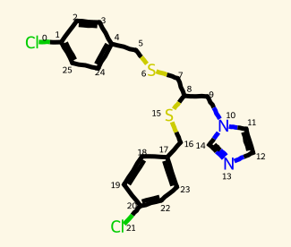 Clc1ccc(CSCC(Cn2ccnc2)SCc2ccc(Cl)cc2)cc1